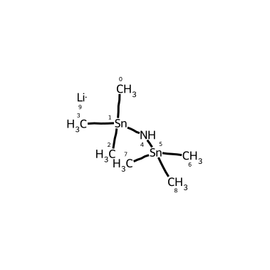 [CH3][Sn]([CH3])([CH3])[NH][Sn]([CH3])([CH3])[CH3].[Li]